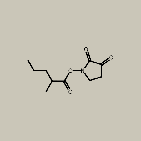 CCCC(C)C(=O)ON1CCC(=O)C1=O